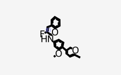 COc1cc(NC(=O)/C(F)=C\c2ccccc2)ccc1C1=CC=C(C)OC1